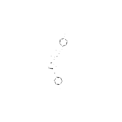 COc1ccc(C(C)(C)c2csc(NC(=O)NCc3ccc(CO)cc3)n2)cc1